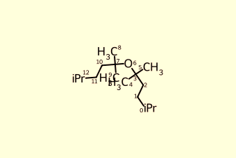 CC(C)CCC(C)(C)OC(C)(C)CCC(C)C